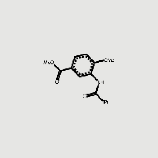 COC(=O)c1ccc(OC)c(NC(=O)C(C)C)c1